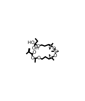 C=C(C)C(=O)OC(C)OCCC[Si](C)(C)O[Si](C)(C)O[Si](C)(C)CCCOC(O)(O)CC